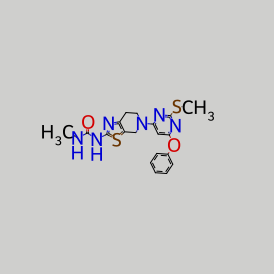 CNC(=O)Nc1nc2c(s1)CN(c1cc(Oc3ccccc3)nc(SC)n1)CC2